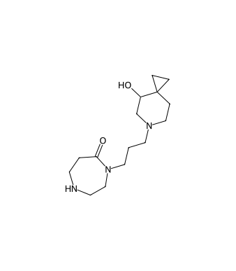 O=C1CCNCCN1CCCN1CCC2(CC2)C(O)C1